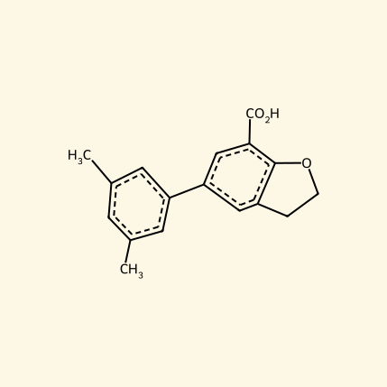 Cc1cc(C)cc(-c2cc3c(c(C(=O)O)c2)OCC3)c1